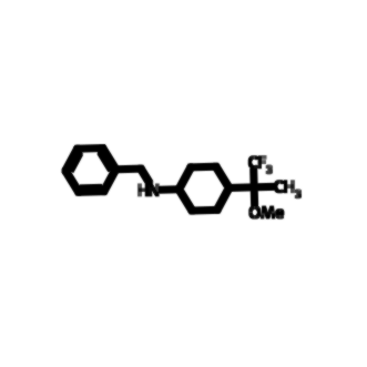 COC(C)(C1CCC(NCc2ccccc2)CC1)C(F)(F)F